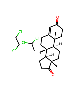 CC(Cl)Cl.C[C@]12CCC(=O)C=C1CC[C@@H]1[C@@H]2CC[C@]2(C)C(=O)CC[C@@H]12.ClCCCl